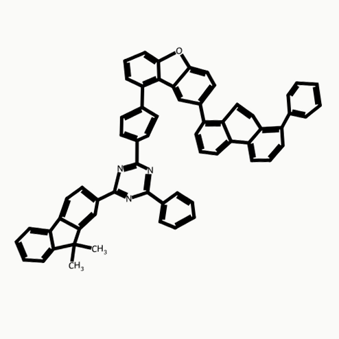 CC1(C)c2ccccc2-c2ccc(-c3nc(-c4ccccc4)nc(-c4ccc(-c5cccc6oc7ccc(-c8cccc9c8ccc8c(-c%10ccccc%10)cccc89)cc7c56)cc4)n3)cc21